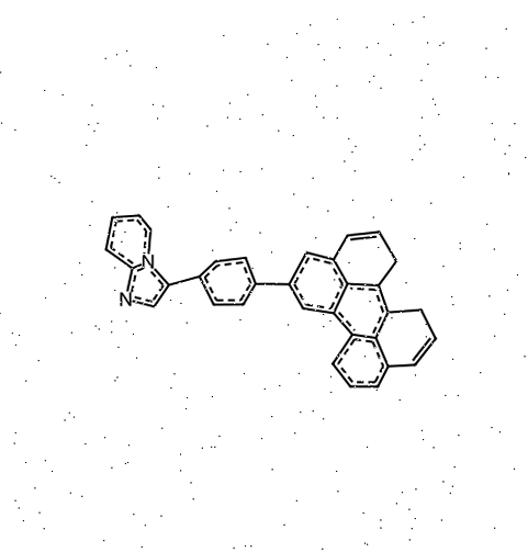 C1=Cc2cccc3c2c(c2c4c(cc(-c5ccc(-c6cnc7ccccn67)cc5)cc43)C=CC2)C1